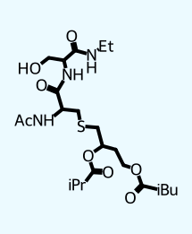 CCNC(=O)C(CO)NC(=O)C(CSCC(CCOC(=O)C(C)CC)OC(=O)C(C)C)NC(C)=O